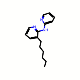 CCCCCCc1cccnc1Nc1ccccn1